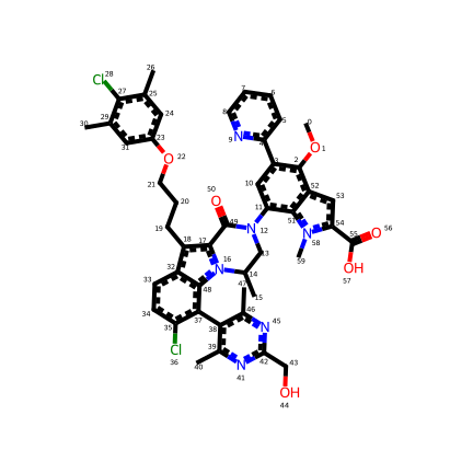 COc1c(-c2ccccn2)cc(N2CC(C)n3c(c(CCCOc4cc(C)c(Cl)c(C)c4)c4ccc(Cl)c(-c5c(C)nc(CO)nc5C)c43)C2=O)c2c1cc(C(=O)O)n2C